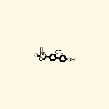 O=C1NN=C(c2ccc(-c3ccc(O)cc3)c(C(F)(F)F)c2)CO1